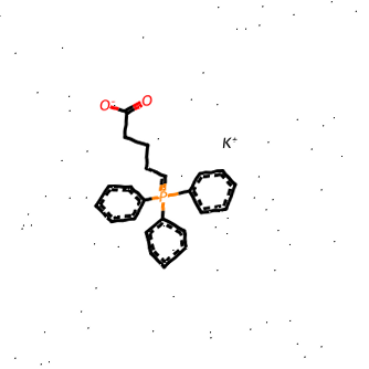 O=C([O-])CCCC=P(c1ccccc1)(c1ccccc1)c1ccccc1.[K+]